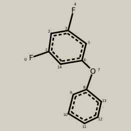 Fc1cc(F)cc(Oc2ccccc2)c1